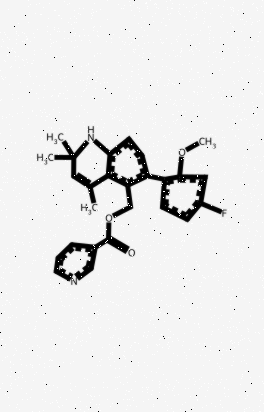 COc1cc(F)ccc1-c1ccc2c(c1COC(=O)c1cccnc1)C(C)=CC(C)(C)N2